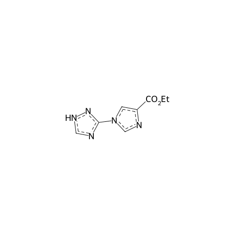 CCOC(=O)c1cn(-c2nc[nH]n2)cn1